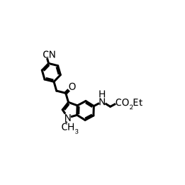 CCOC(=O)CNc1ccc2c(c1)c(C(=O)Cc1ccc(C#N)cc1)cn2C